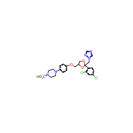 O=C(O)N1CCN(c2ccc(OCC3COC(Cn4cncn4)(c4ccc(Cl)cc4Cl)O3)cc2)CC1